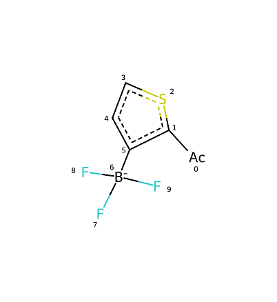 CC(=O)c1sccc1[B-](F)(F)F